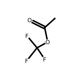 CC(=O)OC(F)(F)F